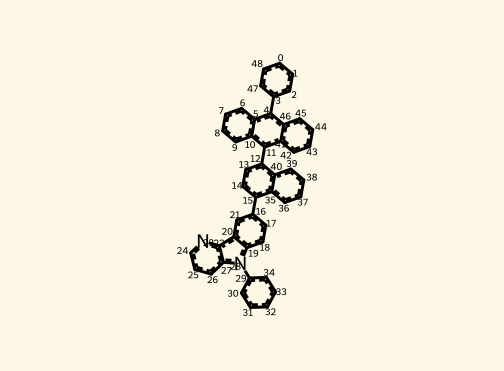 c1ccc(-c2c3ccccc3c(-c3ccc(-c4ccc5c(c4)c4ncccc4n5-c4ccccc4)c4ccccc34)c3ccccc23)cc1